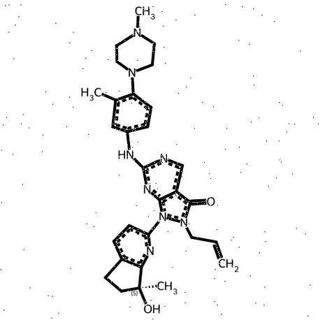 C=CCn1c(=O)c2cnc(Nc3ccc(N4CCN(C)CC4)c(C)c3)nc2n1-c1ccc2c(n1)[C@@](C)(O)CC2